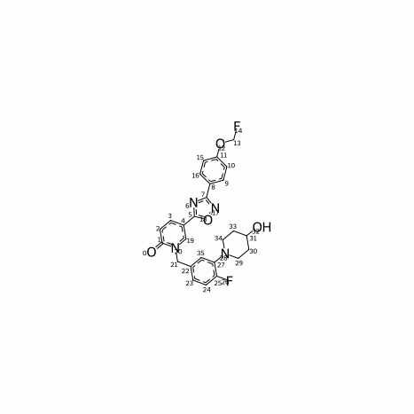 O=c1ccc(-c2nc(-c3ccc(OCF)cc3)no2)cn1Cc1ccc(F)c(N2CCC(O)CC2)c1